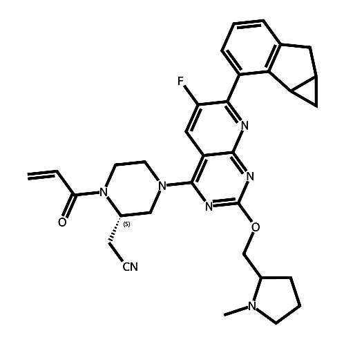 C=CC(=O)N1CCN(c2nc(OCC3CCCN3C)nc3nc(-c4cccc5c4C4CC4C5)c(F)cc23)C[C@@H]1CC#N